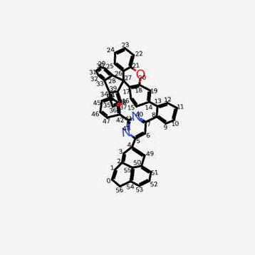 C1=Cc2cc(-c3cc(-c4ccccc4-c4ccc5c(c4)Oc4ccccc4C54c5ccccc5-c5ccccc54)nc(-c4ccccc4)n3)cc3cccc(c23)C1